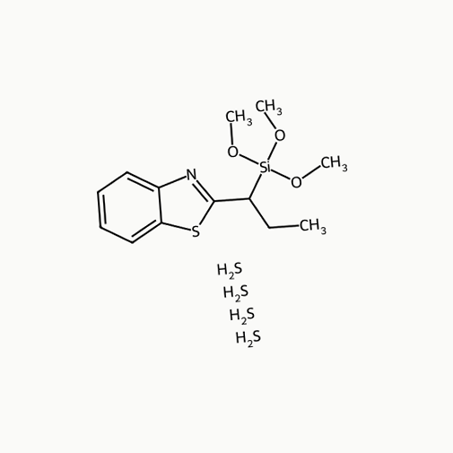 CCC(c1nc2ccccc2s1)[Si](OC)(OC)OC.S.S.S.S